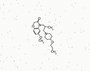 CCCOC1CCN(CC(C)CN2C(=O)COc3ccc(OC)cc32)CC1